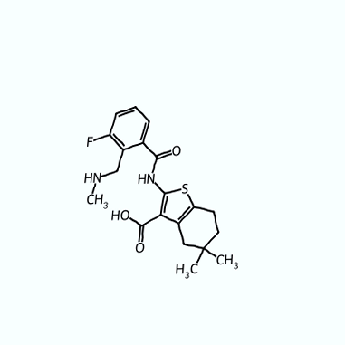 CNCc1c(F)cccc1C(=O)Nc1sc2c(c1C(=O)O)CC(C)(C)CC2